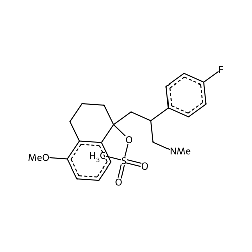 CNCC(CC1(OS(C)(=O)=O)CCCc2c(OC)cccc21)c1ccc(F)cc1